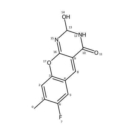 Cc1cc2c(cc1F)C=C1C(=O)NC(O)N=C1O2